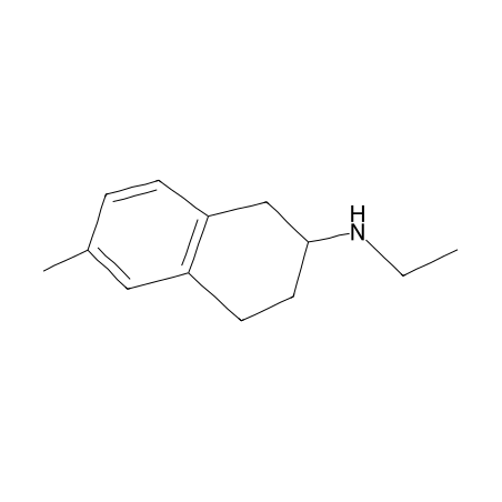 CCNC1CCc2cc(C)ccc2C1